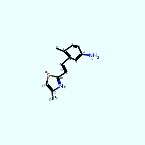 Cc1ccc(N)cc1/C=C/c1nc(C(C)C)cs1